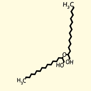 CCCCCCCCCCCCCCC(CO)OC(CO)CCCCCCCCCCCCCC